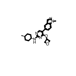 Cn1ncc2cc(-c3cnc(N[C@H]4CC[C@H](C)CC4)nc3OC3COC3)ccc21